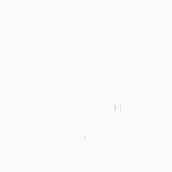 Cc1csc(Cc2ccccc2)[n+]1CC(=O)c1cc(Cl)cs1.[Br-]